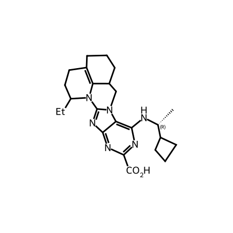 CCC1CCC2=C3C(CCC2)Cn2c(nc4nc(C(=O)O)nc(N[C@H](C)C5CCC5)c42)N31